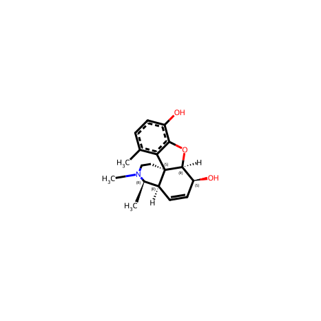 Cc1ccc(O)c2c1[C@]13CCN(C)[C@H](C)[C@@H]1C=C[C@H](O)[C@@H]3O2